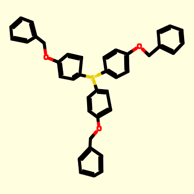 c1ccc(COc2ccc([S+](c3ccc(OCc4ccccc4)cc3)c3ccc(OCc4ccccc4)cc3)cc2)cc1